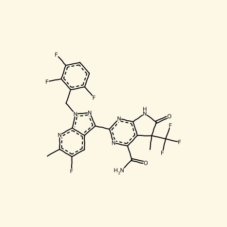 Cc1nc2c(cc1F)c(-c1nc3c(c(C(N)=O)n1)C(C)(C(F)(F)F)C(=O)N3)nn2Cc1c(F)ccc(F)c1F